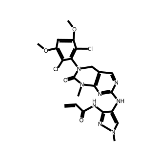 C=CC(=O)Nc1nn(C)cc1Nc1ncc2c(n1)N(C)C(=O)N(c1c(Cl)c(OC)cc(OC)c1Cl)C2